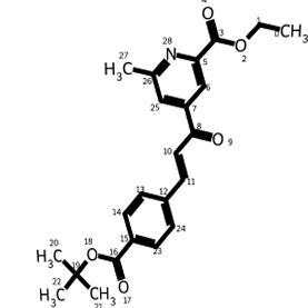 CCOC(=O)c1cc(C(=O)C=Cc2ccc(C(=O)OC(C)(C)C)cc2)cc(C)n1